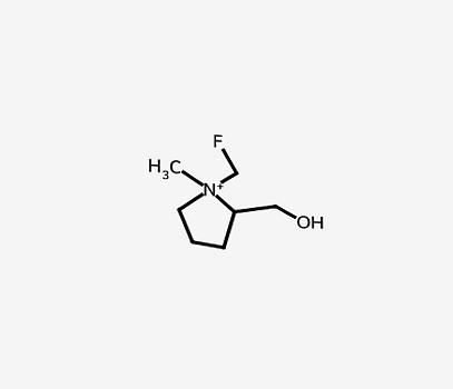 C[N+]1(CF)CCCC1CO